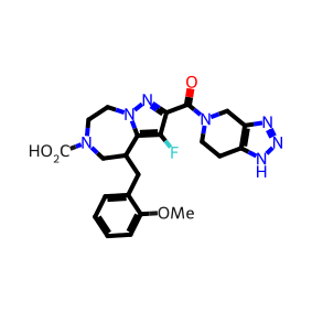 COc1ccccc1CC1CN(C(=O)O)CCn2nc(C(=O)N3CCc4[nH]nnc4C3)c(F)c21